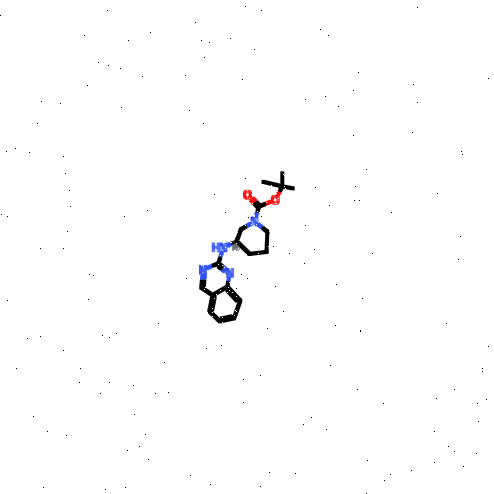 CC(C)(C)OC(=O)N1CCC[C@@H](Nc2ncc3ccccc3n2)C1